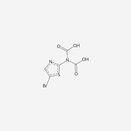 O=C(O)N(C(=O)O)c1ncc(Br)s1